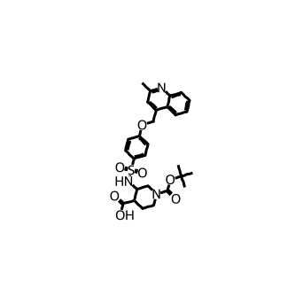 Cc1cc(COc2ccc(S(=O)(=O)NC3CN(C(=O)OC(C)(C)C)CCC3C(=O)O)cc2)c2ccccc2n1